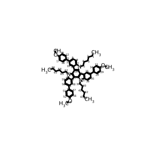 CCCCCCn1c2ccc(-c3ccc(OC)cc3)cc2c2c1c1c3cc(-c4ccc(OC)cc4)ccc3n(CCCCCC)c1c1c3cc(-c4ccc(OC)cc4)ccc3n(CCCCCC)c21